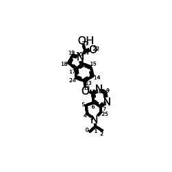 CC(C)N1CCc2c(ncnc2Oc2ccc3c(ccn3C(=O)O)c2)C1